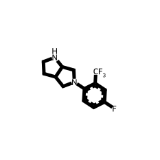 Fc1ccc(N2CC3CCNC3C2)c(C(F)(F)F)c1